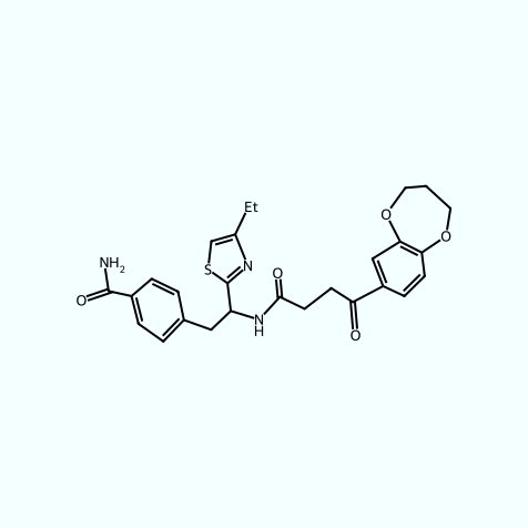 CCc1csc(C(Cc2ccc(C(N)=O)cc2)NC(=O)CCC(=O)c2ccc3c(c2)OCCCO3)n1